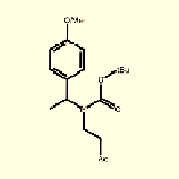 COc1ccc(C(C)N(CCC(C)=O)C(=O)OC(C)(C)C)cc1